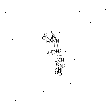 CCCN(Cc1nc2c(C)c([C@@H]3CC[C@H](c4ccc5[nH]c([C@@H]6CCCN6C(=O)C(NC(=O)OC)C(C)C)nc5c4C)N3c3ccc(C(C)(C)C)cc3)ccc2[nH]1)C(=O)CNC(=O)OC